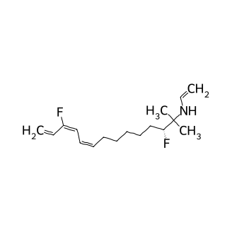 C=CNC(C)(C)[C@H](F)CCCCC/C=C\C=C(\F)C=C